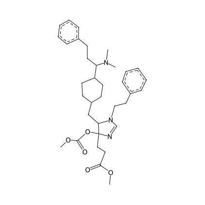 COC(=O)CCC1(OC(=O)OC)N=CN(CCc2ccccc2)C1CC1CCC(C(CCc2ccccc2)N(C)C)CC1